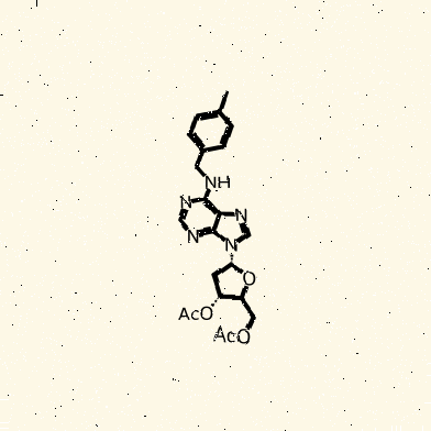 CC(=O)OCC1O[C@@H](n2cnc3c(NCc4ccc(C)cc4)ncnc32)C[C@H]1OC(C)=O